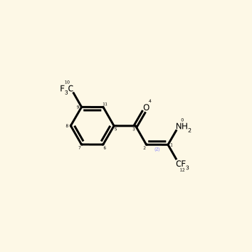 N/C(=C\C(=O)c1cccc(C(F)(F)F)c1)C(F)(F)F